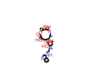 CC[C@@H]1OC(=O)C(C)[C@H](O)[C@@H](C)[C@H](O[C@@H]2OC(C)C[C@H](N(C)CCCNc3ccnc4ccccc34)C2O)[C@](C)(O)C[C@H](C)CN(C)[C@H](C)[C@@H](O)C1(C)O